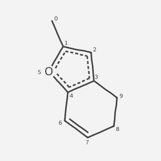 Cc1cc2c(o1)C=CCC2